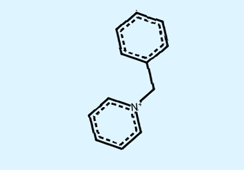 [c]1ccc(C[n+]2ccccc2)cc1